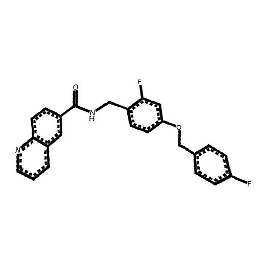 O=C(NCc1ccc(OCc2ccc(F)cc2)cc1F)c1ccc2ncccc2c1